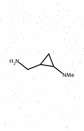 CNC1CC1CN